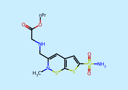 CCCOC(=O)CNCC1=Cc2cc(S(N)(=O)=O)sc2SN1C